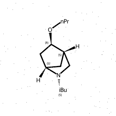 CCCO[C@@H]1C[C@@H]2C[C@H]1CN2[C@@H](C)CC